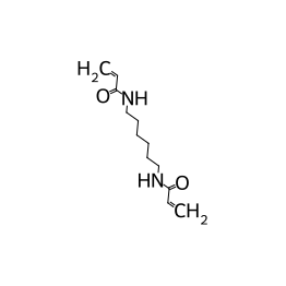 C=CC(=O)NCCCCCCNC(=O)C=C